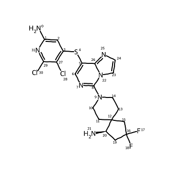 Nc1cc(Sc2cnc(N3CCC4(CC3)CC(F)(F)C[C@H]4N)n3ccnc23)c(Cl)c(Cl)n1